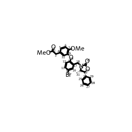 COC(=O)Cc1ccc(OC)c(Oc2ccc(Br)cc2CN2C(=O)O[C@H](c3ccccc3)[C@@H]2C)c1